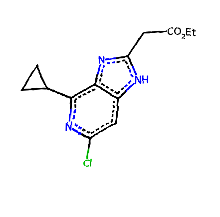 CCOC(=O)Cc1nc2c(C3CC3)nc(Cl)cc2[nH]1